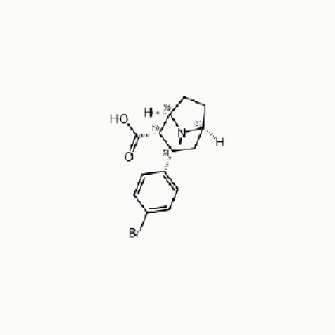 CN1[C@H]2CC[C@@H]1[C@@H](C(=O)O)[C@@H](c1ccc(Br)cc1)C2